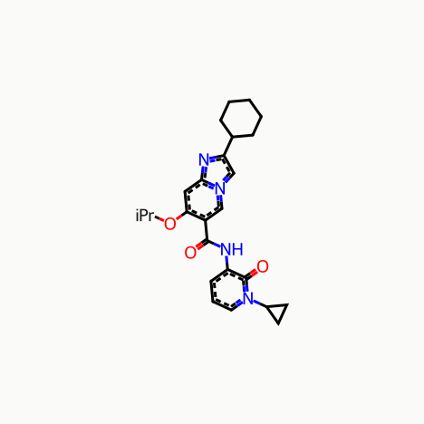 CC(C)Oc1cc2nc(C3CCCCC3)cn2cc1C(=O)Nc1cccn(C2CC2)c1=O